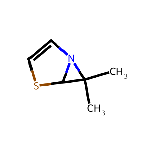 CC1(C)C2SC=CN21